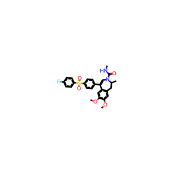 CNC(=O)N1C=C(c2ccc(S(=O)(=O)c3ccc(F)cc3)cc2)c2cc(OC)c(OC)cc2CC1C